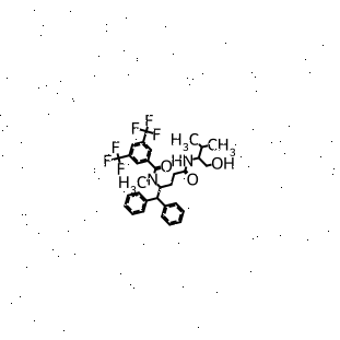 CC(C)C(CO)NC(=O)CCC(C(c1ccccc1)c1ccccc1)N(C)C(=O)c1cc(C(F)(F)F)cc(C(F)(F)F)c1